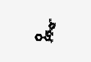 Fc1cn(-c2nc3n(n2)[C@H](C2C=CC=CC2)C[C@@H]3F)cn1